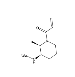 C=CC(=O)N1CCC[C@@H](NC(C)(C)C)[C@H]1C